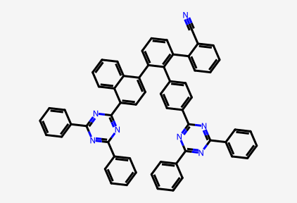 N#Cc1ccccc1-c1cccc(-c2ccc(-c3nc(-c4ccccc4)nc(-c4ccccc4)n3)c3ccccc23)c1-c1ccc(-c2nc(-c3ccccc3)nc(-c3ccccc3)n2)cc1